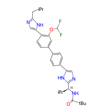 CC(C)Cc1ncc(-c2ccc(-c3ccc(-c4cnc([C@@H](NC(=O)C(C)(C)C)C(C)C)[nH]4)cc3)cc2OC(F)F)[nH]1